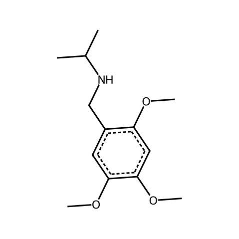 COc1cc(OC)c(OC)cc1CNC(C)C